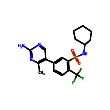 Cc1nc(N)ncc1-c1ccc(C(F)(F)F)c(S(=O)(=O)NC2CCCCC2)c1